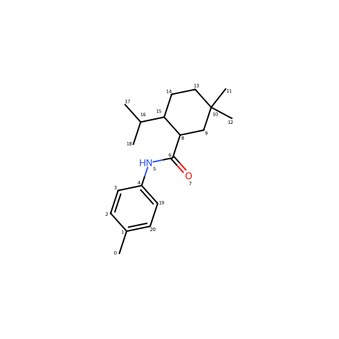 Cc1ccc(NC(=O)C2CC(C)(C)CCC2C(C)C)cc1